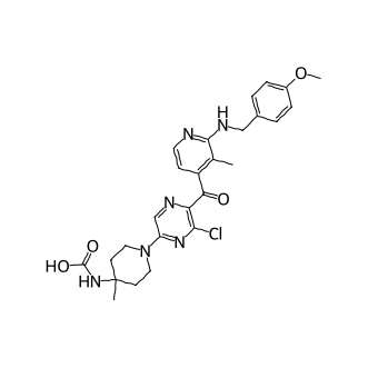 COc1ccc(CNc2nccc(C(=O)c3ncc(N4CCC(C)(NC(=O)O)CC4)nc3Cl)c2C)cc1